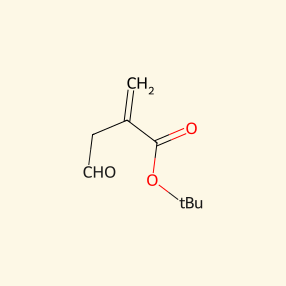 C=C(CC=O)C(=O)OC(C)(C)C